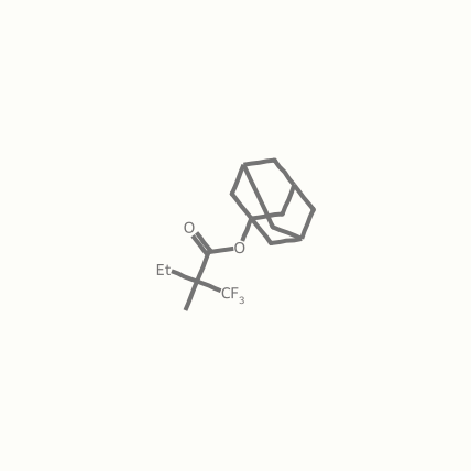 CCC(C)(C(=O)OC12CC3CC(CC(C3)C1)C2)C(F)(F)F